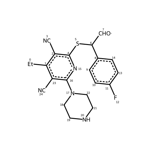 CCc1c(C#N)c(SC([C]=O)c2ccc(F)cc2)nc(N2CCNCC2)c1C#N